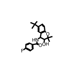 CC(C)(C)c1ccc2c(c1)C(NC(=O)c1ccc(F)cc1)C(O)C(C)(C)O2